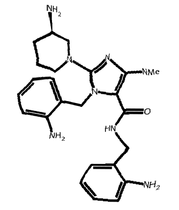 CNc1nc(N2CCC[C@@H](N)C2)n(Cc2ccccc2N)c1C(=O)NCc1ccccc1N